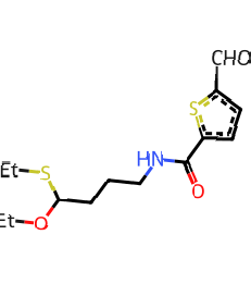 CCOC(CCCNC(=O)c1ccc(C=O)s1)SCC